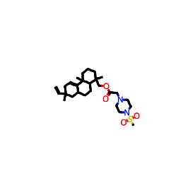 C=CC1(C)CC=C2C(CCC3C(C)(COC(=O)CN4CCN(S(C)(=O)=O)CC4)CCCC23C)C1